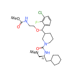 CNC[C@H](CC1CCCCC1)NC(=O)N1CCCC(C(OCCNC(=O)OC)c2cccc(Cl)c2F)C1